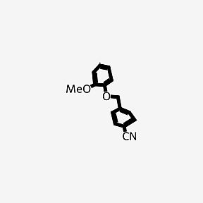 COc1c[c]ccc1OCc1ccc(C#N)cc1